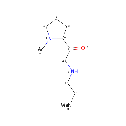 CNCCNCC(=O)C1CCCN1C(C)=O